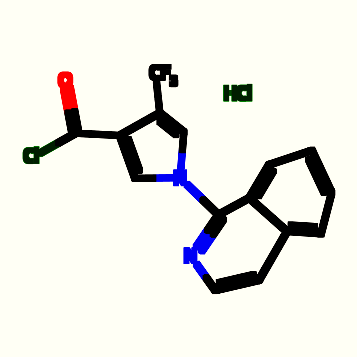 Cl.O=C(Cl)c1cn(-c2nccc3ccccc23)cc1C(F)(F)F